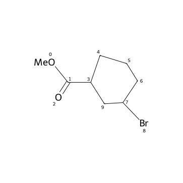 COC(=O)C1CCCC(Br)C1